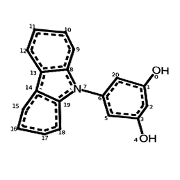 Oc1cc(O)cc(-n2c3ccccc3c3ccccc32)c1